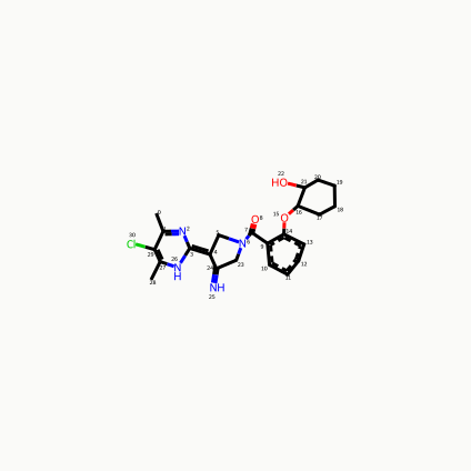 CC1=N/C(=C2\CN(C(=O)c3ccccc3OC3CCCCC3O)CC2=N)NC(C)=C1Cl